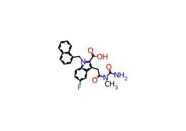 CN(C(N)=O)C(=O)Cc1c(C(=O)O)n(Cc2cccc3ccccc23)c2ccc(F)cc12